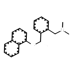 C[C@H](Oc1cccc2ccccc12)c1ccccc1CN(C)C